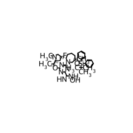 C[C@H](Oc1nc(C(=N)NO)nc(N2CCCC[C@@](C)(O[Si](c3ccccc3)(c3ccccc3)C(C)(C)C)C2)n1)[C@@H]1C[C@@H](F)CN1C